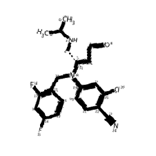 CC(C)NC[C@H](CC=O)N(Cc1ccc(F)cc1F)c1ccc(C#N)c(Cl)c1